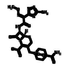 CON=C(C(=O)N[C@@H]1C(=O)N2C(C(=O)[O-])=C(C[N+]34CCC(C(N)=O)(CC3)CC4)CS[C@H]12)c1nsc(N)n1